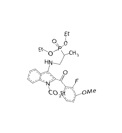 CCOC(=O)n1c(C(=O)c2cccc(OC)c2F)c(NCC(C)P(=O)(OCC)OCC)c2ccccc21